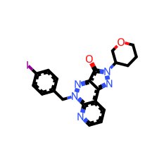 O=c1c2nn(Cc3ccc(I)cc3)c3ncccc3c-2nn1C1CCCOC1